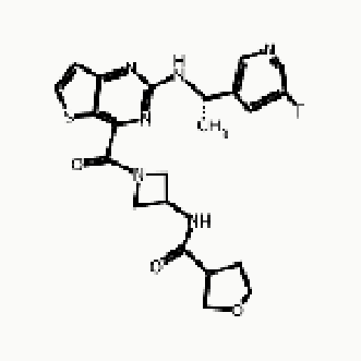 C[C@H](Nc1nc(C(=O)N2CC(NC(=O)C3CCOC3)C2)c2sccc2n1)c1cncc(F)c1